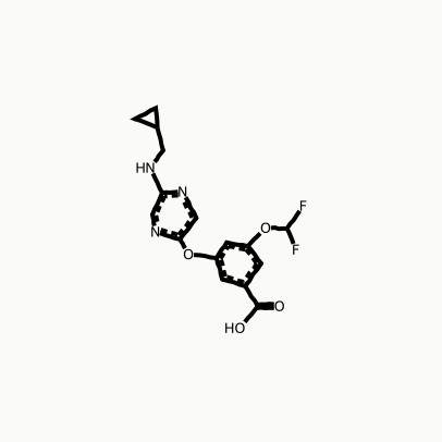 O=C(O)c1cc(Oc2cnc(NCC3CC3)cn2)cc(OC(F)F)c1